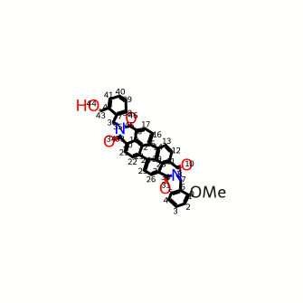 COc1ccccc1CN1C(=O)c2ccc3c4ccc5c6c(ccc(c7ccc(c2c37)C1=O)c64)C(=O)N(Cc1ccccc1CO)C5=O